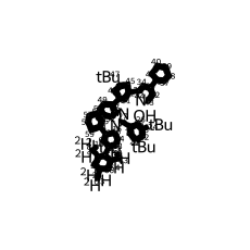 [2H]C([2H])([2H])c1cc(C([2H])([2H])[2H])c(-c2ccc(-n3c(-c4cc(C(C)(C)C)cc(C(C)(C)C)c4O)nc4c(-c5cc(-c6cc(-c7ccccc7)ccn6)cc(C(C)(C)C)c5)cccc43)c(-c3ccccc3)c2)c(C([2H])([2H])[2H])c1